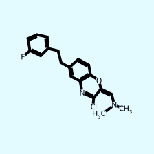 CN(C)C=C1Oc2ccc(CCc3cccc(F)c3)cc2N=C1Cl